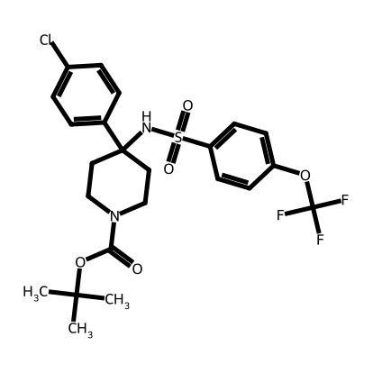 CC(C)(C)OC(=O)N1CCC(NS(=O)(=O)c2ccc(OC(F)(F)F)cc2)(c2ccc(Cl)cc2)CC1